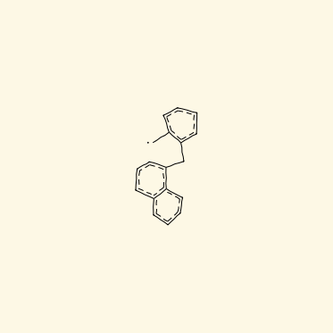 [CH2]c1ccccc1Cc1cccc2ccccc12